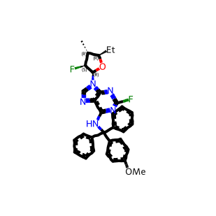 CC[C@H]1O[C@@H](n2cnc3c(NC(c4ccccc4)(c4ccccc4)c4ccc(OC)cc4)nc(F)nc32)[C@@H](F)[C@@H]1C